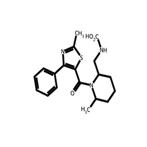 Cc1nc(-c2ccccc2)c(C(=O)N2C(C)CCCC2CNC(=O)O)s1